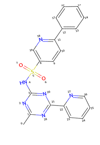 Cc1nc(NS(=O)(=O)c2ccc(-c3ccccc3)nc2)nc(-c2ccccn2)n1